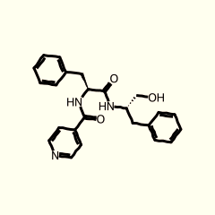 O=C(N[C@@H](Cc1ccccc1)C(=O)N[C@H](CO)Cc1ccccc1)c1ccncc1